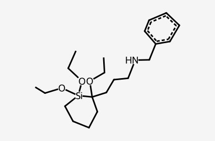 CCOC1(CCCNCc2ccccc2)CCCC[Si]1(OCC)OCC